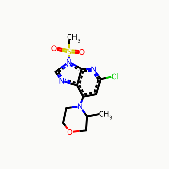 CC1COCCN1c1cc(Cl)nc2c1ncn2S(C)(=O)=O